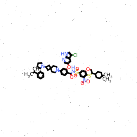 CC(C)c1ccccc1[C@@H]1CCCN1C1CC2(CCN(c3ccc(C(=O)NS(=O)(=O)c4cc5c(c([N+](=O)[O-])c4)SC(C4CCC(C)(C)CC4)CO5)c(Oc4cnc5[nH]cc(Cl)c5c4)c3)CC2)C1